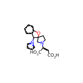 O=C(O)/C=C(\C(=O)O)N1CCC2(C1)Oc1ccccc1C2n1cccc1